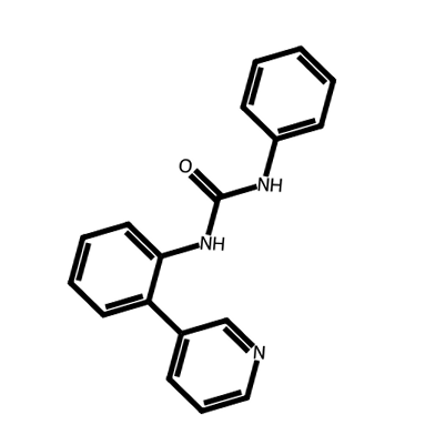 O=C(Nc1ccccc1)Nc1ccccc1-c1cccnc1